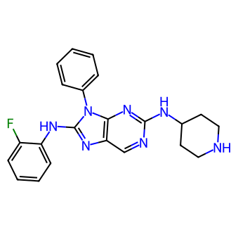 Fc1ccccc1Nc1nc2cnc(NC3CCNCC3)nc2n1-c1ccccc1